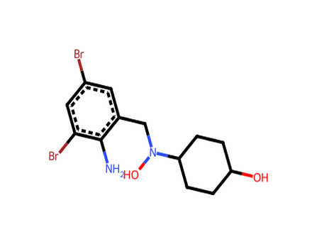 Nc1c(Br)cc(Br)cc1CN(O)C1CCC(O)CC1